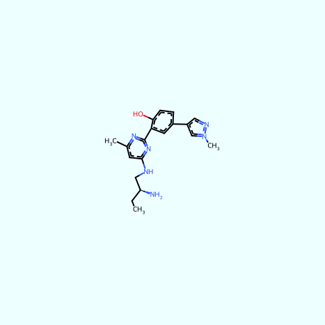 CC[C@H](N)CNc1cc(C)nc(-c2cc(-c3cnn(C)c3)ccc2O)n1